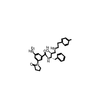 CCNc1cc(C(=O)N[C@@H](Cc2ccccc2)[C@@H](O)CNCCc2ccc(C)cc2)cc(N2CCCC2=O)c1